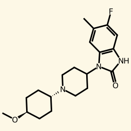 CO[C@H]1CC[C@H](N2CCC(n3c(=O)[nH]c4cc(F)c(C)cc43)CC2)CC1